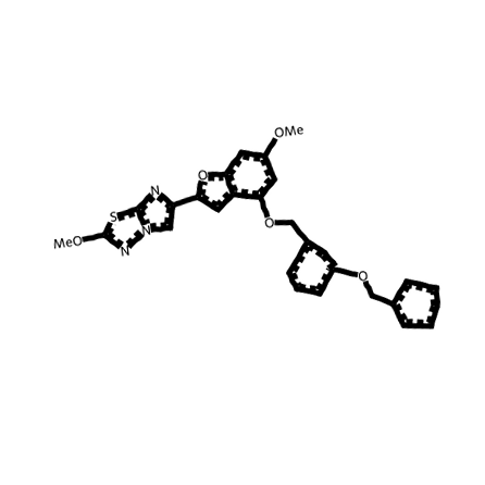 COc1cc(OCc2cccc(OCc3ccccc3)c2)c2cc(-c3cn4nc(OC)sc4n3)oc2c1